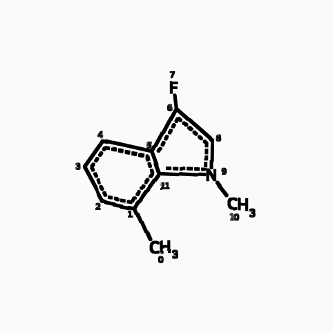 Cc1cccc2c(F)cn(C)c12